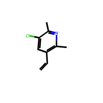 C=Cc1cc(Cl)c(C)nc1C